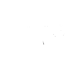 C[C@@H](CCOCc1ccccc1)C(=O)N1C(=O)OC[C@@H]1Cc1ccccc1